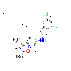 CN(C(=O)C(C)(C)C)[C@@H](c1ccc(NC2Cc3cc(Cl)cc(F)c3C2)cn1)C(F)(F)F